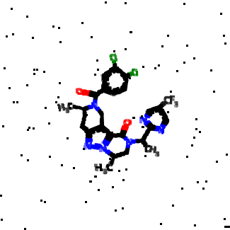 CC(c1ncc(C(F)(F)F)cn1)N1C[C@@H](C)n2nc3c(c2C1=O)CN(C(=O)c1ccc(Cl)c(Cl)c1)[C@H](C)C3